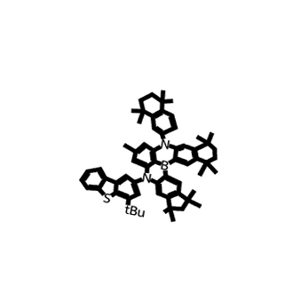 Cc1cc2c3c(c1)N(c1cc(C(C)(C)C)c4sc5ccccc5c4c1)c1cc4c(cc1B3c1cc3c(cc1N2c1ccc2c(c1)C(C)(C)CCC2(C)C)C(C)(C)CCC3(C)C)C(C)(C)CC4(C)C